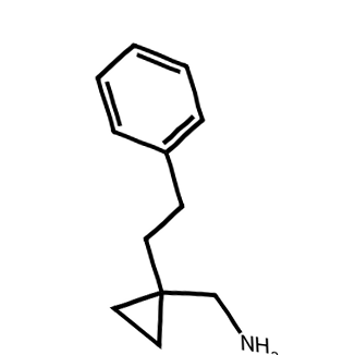 NCC1(CCc2ccccc2)CC1